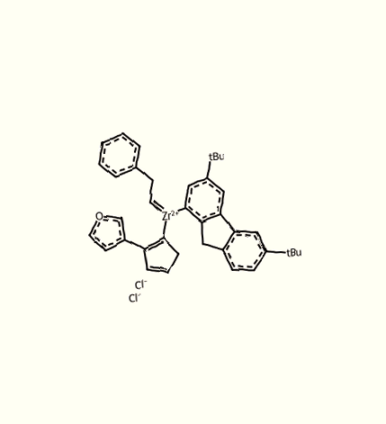 CC(C)(C)c1ccc2c(c1)-c1cc(C(C)(C)C)c[c]([Zr+2](=[CH]Cc3ccccc3)[C]3=C(c4ccoc4)C=CC3)c1C2.[Cl-].[Cl-]